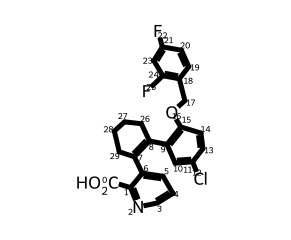 O=C(O)c1ncccc1C1=C(c2cc(Cl)ccc2OCc2ccc(F)cc2F)CCCC1